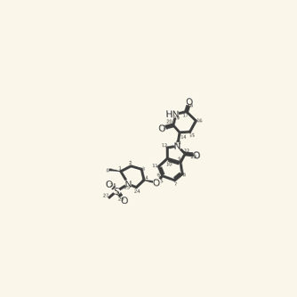 C[C@H]1CC[C@@H](Oc2ccc3c(c2)CN(C2CCC(=O)NC2=O)C3=O)CN1S(C)(=O)=O